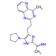 CC(=N)c1nc(CCc2nc(C)c3ncccc3n2)c(N2CCCC2)[nH]1